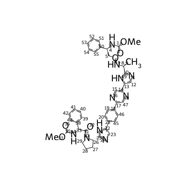 COC(=O)N[C@@H](CON[C@@H](C)c1ncc(-c2cnc(-c3ccc(-c4cnc([C@@H]5CCCN5C(=O)[C@H](NC(=O)OC)c5ccccc5)[nH]4)cc3)cn2)[nH]1)c1ccccc1